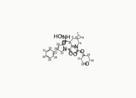 O=C(NO)[C@H]1CC2(CC2)CN(C(=O)OC2CCOCC2)[C@@H]1C(=O)N1CC=C(c2ccccc2)C1